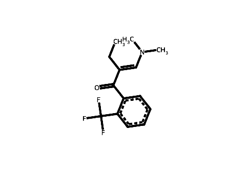 CCC(=CN(C)C)C(=O)c1ccccc1C(F)(F)F